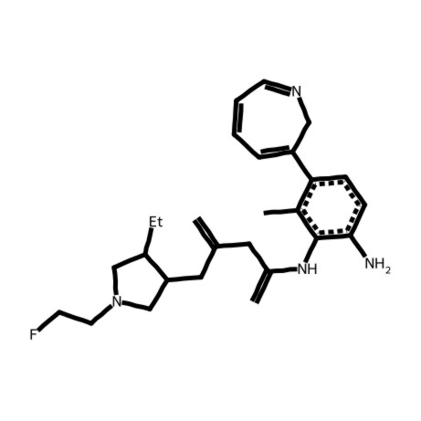 C=C(CC(=C)Nc1c(N)ccc(C2=CC=CC=NC2)c1C)CC1CN(CCF)CC1CC